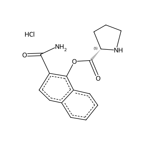 Cl.NC(=O)c1ccc2ccccc2c1OC(=O)[C@@H]1CCCN1